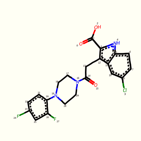 O=C(O)c1[nH]c2ccc(Cl)cc2c1CC(=O)N1CCN(c2ccc(F)cc2F)CC1